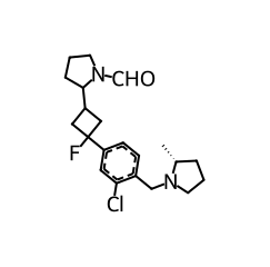 C[C@@H]1CCCN1Cc1ccc(C2(F)CC(C3CCCN3C=O)C2)cc1Cl